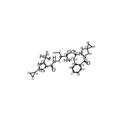 CC[C@H](CNC(=O)c1sc(C2CC2)nc1C(F)(F)F)C(=O)N[C@@H]1C(=O)N2CC3(CC3)CN2C(=O)c2ccccc21